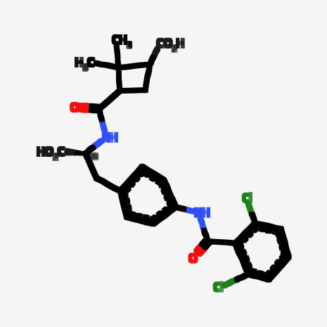 CC1(C)C(C(=O)O)CC1C(=O)N[C@@H](Cc1ccc(NC(=O)c2c(Cl)cccc2Cl)cc1)C(=O)O